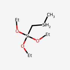 CCO[Si](C[SiH2]C)(OCC)OCC